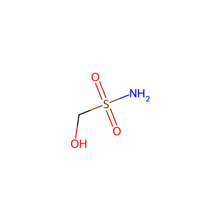 NS(=O)(=O)CO